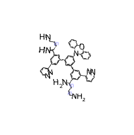 N=C/C=C\C(=N)c1cc(-c2cc(-c3cc(/C(N)=C/C=C\N)cc(-c4cccnn4)c3)cc(N3c4ccccc4Oc4ccccc43)c2)cc(-c2cccnn2)c1